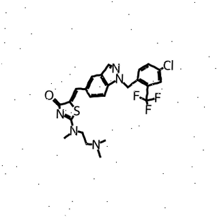 CN(C)CCN(C)C1=NC(=O)/C(=C/c2ccc3c(cnn3Cc3ccc(Cl)cc3C(F)(F)F)c2)S1